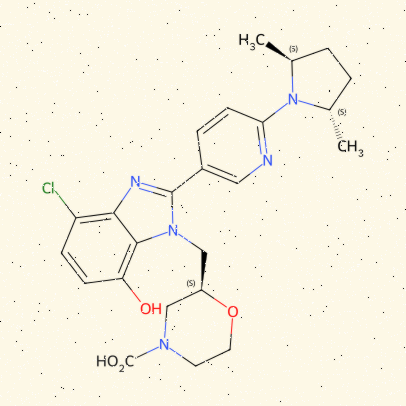 C[C@H]1CC[C@H](C)N1c1ccc(-c2nc3c(Cl)ccc(O)c3n2C[C@@H]2CN(C(=O)O)CCO2)cn1